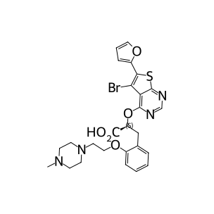 CN1CCN(CCOc2ccccc2C[C@H](Oc2ncnc3sc(-c4ccco4)c(Br)c23)C(=O)O)CC1